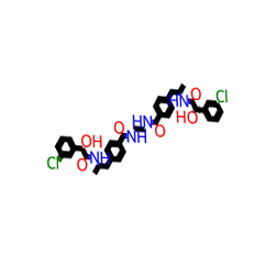 CC(Cc1ccc(C(=O)NCCNC(=O)c2ccc(CC(C)NC(=O)[C@H](O)c3cccc(Cl)c3)cc2)cc1)NC(=O)C(O)c1cccc(Cl)c1